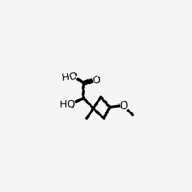 COC1CC(C)(C(O)C(=O)O)C1